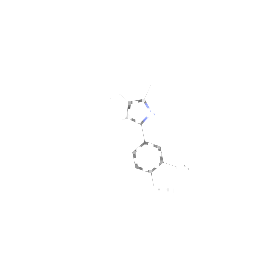 CCOC(=O)c1[se]c(-c2ccc(OCC(C)C)c(C#N)c2)nc1C